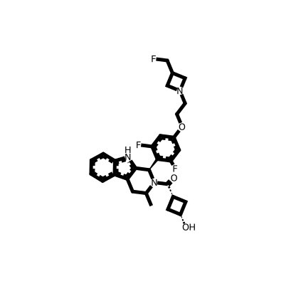 CC1Cc2c([nH]c3ccccc23)[C@@H](c2c(F)cc(OCCN3CC(CF)C3)cc2F)N1C(=O)[C@H]1C[C@@H](O)C1